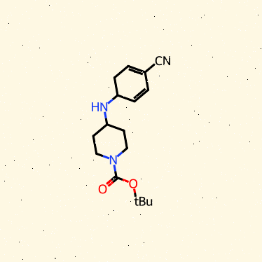 CC(C)(C)OC(=O)N1CCC(NC2C=CC(C#N)=CC2)CC1